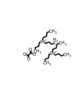 CCC[CH2][Sn+]([CH2]CCC)[CH2]CCC.CCC[CH2][Sn+]([CH2]CCC)[CH2]CCC.O=C([O-])C(=O)[O-]